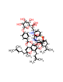 CC(C)=CCCC1(C)C=Cc2c(c(CC=C(C)C)c3c(c2OC(=O)c2ccc(O[C@@H]4O[C@H](CO)[C@@H](O)[C@H](O)[C@H]4O)cc2)C2=C4C(Sc5ccccc5N2)C2CC(C(C)C)C4(O3)C(O)(C/C=C\C(=O)NCCO)C2=O)O1